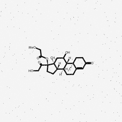 COCC(=O)O[C@]1(C(=O)CO)CC[C@H]2[C@@H]3CCC4=CC(=O)CC[C@]4(C)[C@H]3C(O)C[C@@]21C